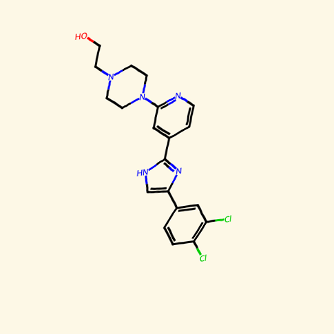 OCCN1CCN(c2cc(-c3nc(-c4ccc(Cl)c(Cl)c4)c[nH]3)ccn2)CC1